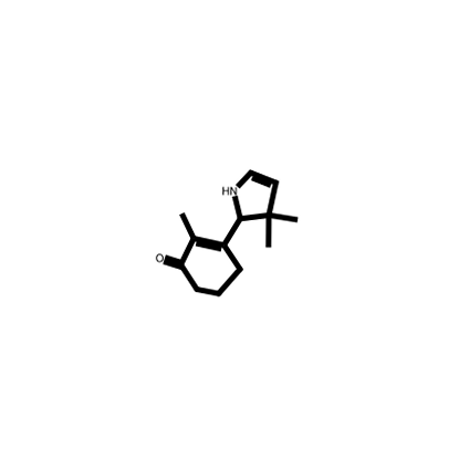 CC1=C(C2NC=CC2(C)C)CCCC1=O